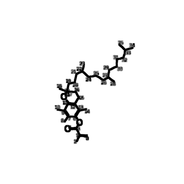 C=C(C)C(=O)Oc1c(C)c(C)c2c(c1C)CC[C@@](C)(CCCC(C)CCCC(C)CCCCC(C)C)O2